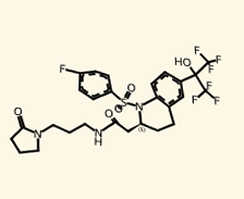 O=C(C[C@@H]1CCc2cc(C(O)(C(F)(F)F)C(F)(F)F)ccc2N1S(=O)(=O)c1ccc(F)cc1)NCCCN1CCCC1=O